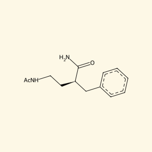 CC(=O)NCC[C@H](Cc1ccccc1)C(N)=O